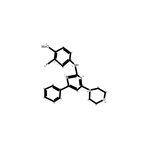 COc1ccc(Nc2nc(-c3ccccc3)cc(N3CCOCC3)n2)cc1F